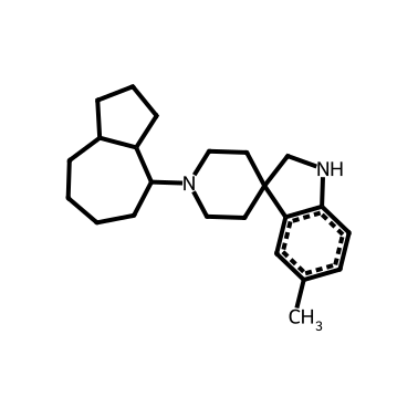 Cc1ccc2c(c1)C1(CCN(C3CCCCC4CCCC43)CC1)CN2